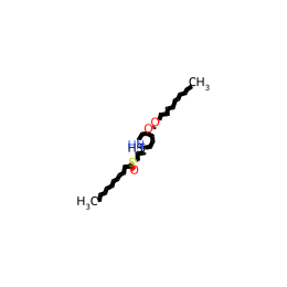 CCCCCCCCCCCCOCOC1CCC[SiH](CCCSC(=O)CCCCCCCCCCC)NCC1